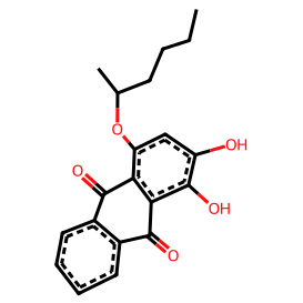 CCCCC(C)Oc1cc(O)c(O)c2c1C(=O)c1ccccc1C2=O